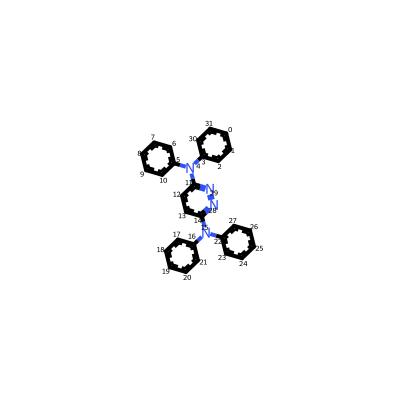 c1ccc(N(c2ccccc2)c2ccc(N(c3ccccc3)c3ccccc3)nn2)cc1